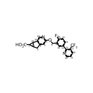 O=C(O)C1C2Cc3cc(OCc4cc(-c5ncccc5C(F)(F)F)ccc4F)ncc3C21